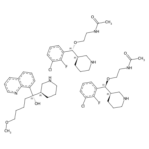 CC(=O)NCCO[C@@H](c1cccc(Cl)c1F)[C@@H]1CCCNC1.CC(=O)NCCO[C@H](c1cccc(Cl)c1F)[C@@H]1CCCNC1.COCCCC[C@@](O)(c1cccc2cccnc12)[C@@H]1CCCNC1